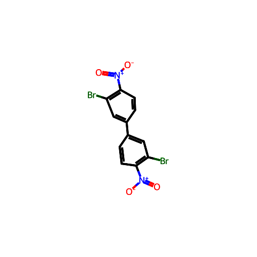 O=[N+]([O-])c1ccc(-c2ccc([N+](=O)[O-])c(Br)c2)cc1Br